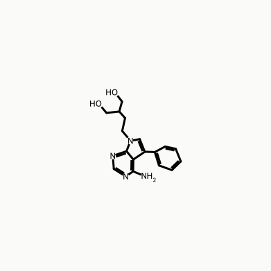 Nc1ncnc2c1c(-c1ccccc1)cn2CCC(CO)CO